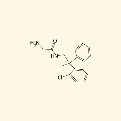 CC(CNC(=O)CN)(c1ccccc1)c1ccccc1Cl